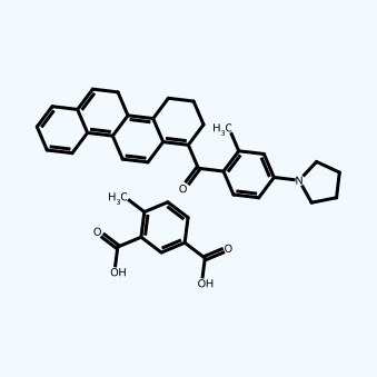 Cc1cc(N2CCCC2)ccc1C(=O)C1=c2ccc3c(c2CCC1)CC=c1ccccc1=3.Cc1ccc(C(=O)O)cc1C(=O)O